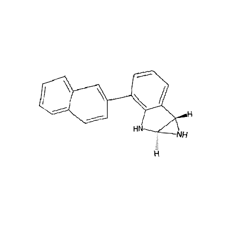 c1cc(-c2ccc3ccccc3c2)c2c(c1)[C@@H]1N[C@H]1N2